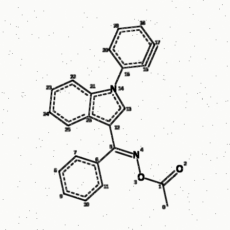 CC(=O)O/N=C(\c1ccccc1)c1cn(-c2c#cccc2)c2ccccc12